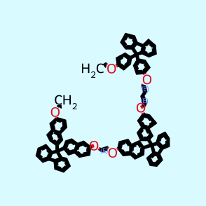 C=COc1ccc(C2(c3ccc(O/C=C/C=C/Oc4ccc5cc(C6(c7ccc8cc(O/C=C/Oc9ccc%10cc(C%11(c%12ccc%13cc(OC=C)ccc%13c%12)c%12ccccc%12-c%12ccccc%12%11)ccc%10c9)ccc8c7)c7ccccc7-c7ccccc76)ccc5c4)cc3)c3ccccc3-c3ccccc32)cc1